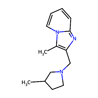 Cc1c(CN2CCC(C)C2)nc2ccccn12